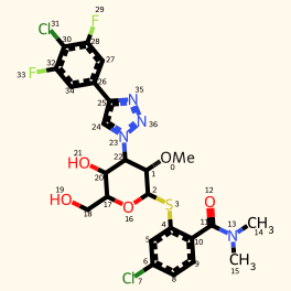 COC1C(Sc2cc(Cl)ccc2C(=O)N(C)C)OC(CO)C(O)C1n1cc(-c2cc(F)c(Cl)c(F)c2)nn1